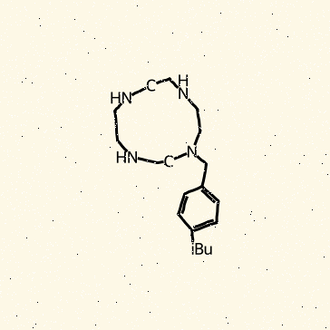 CCC(C)c1ccc(CN2CCNCCNCCNCC2)cc1